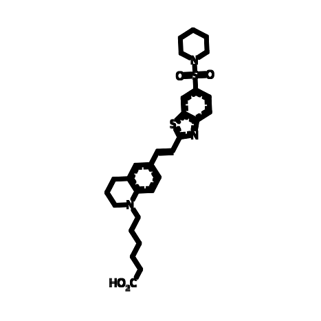 O=C(O)CCCCCN1CCCc2cc(/C=C/c3nc4ccc(S(=O)(=O)N5CCCCC5)cc4s3)ccc21